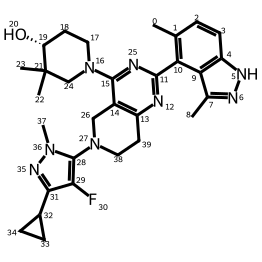 Cc1ccc2[nH]nc(C)c2c1-c1nc2c(c(N3CC[C@@H](O)C(C)(C)C3)n1)CN(c1c(F)c(C3CC3)nn1C)CC2